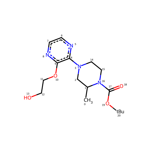 CC1CN(c2nccnc2OCCO)CCN1C(=O)OC(C)(C)C